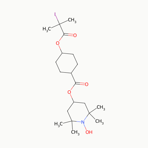 CC(C)(I)C(=O)OC1CCC(C(=O)OC2CC(C)(C)N(O)C(C)(C)C2)CC1